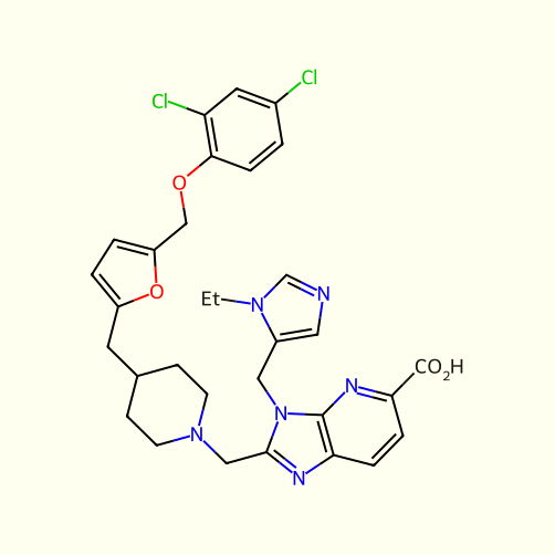 CCn1cncc1Cn1c(CN2CCC(Cc3ccc(COc4ccc(Cl)cc4Cl)o3)CC2)nc2ccc(C(=O)O)nc21